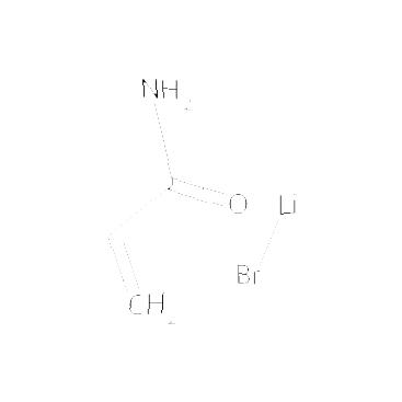 C=CC(N)=O.[Li][Br]